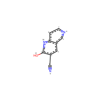 N#Cc1cc2cnccc2nc1O